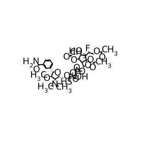 CO[C@@H]1[C@H](N(C)C)[C@@H](COP(=O)(S)OP(=O)(O)OC2OC3(OC(C)=O)C2C(OC(C)=O)C(O)C3[C@@H](F)COC(C)=O)O[C@H]1c1cccc(C(N)=O)c1